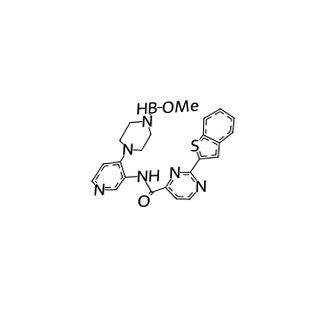 COBN1CCN(c2ccncc2NC(=O)c2ccnc(-c3cc4ccccc4s3)n2)CC1